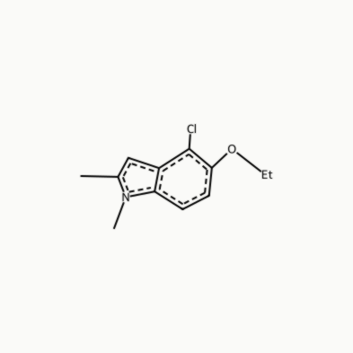 CCOc1ccc2c(cc(C)n2C)c1Cl